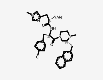 CN[C@@H](Cc1cn(C)cn1)C(=O)N[C@H](Cc1ccc(Cl)cc1)C(=O)N1CCN(C)[C@H](Cc2ccc3ccccc3c2)C1